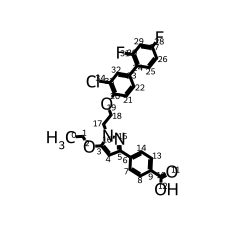 CCOc1cc(-c2ccc(C(=O)O)cc2)nn1CCOc1ccc(-c2ccc(F)cc2F)cc1Cl